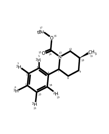 [2H]c1c([2H])c([2H])c(C2CC[C@H](C)CN2C(=O)OC(C)(C)C)c([2H])c1[2H]